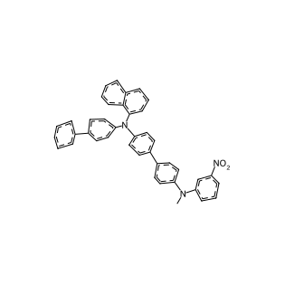 CN(c1ccc(-c2ccc(N(c3ccc(-c4ccccc4)cc3)c3cccc4ccccc34)cc2)cc1)c1cccc([N+](=O)[O-])c1